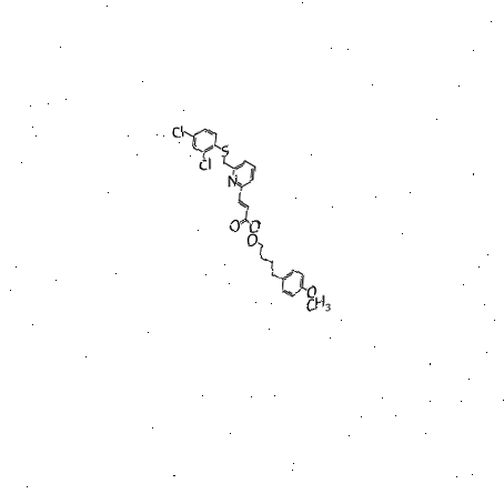 COc1ccc(CCCCOOC(=O)C=Cc2cccc(CSc3ccc(Cl)cc3Cl)n2)cc1